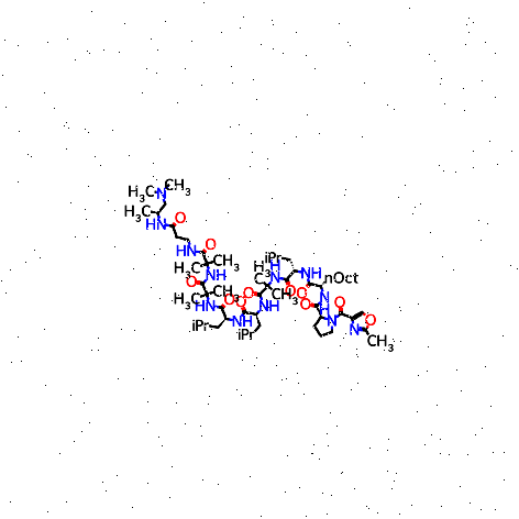 CCCCCCCC[C@H](NC(=O)[C@@H]1CCCN1C(=O)c1coc(C)n1)C(=O)N[C@@H](CC(C)C)C(=O)NC(C)(C)C(=O)N[C@@H](CC(C)C)C(=O)N[C@@H](CC(C)C)C(=O)NC(C)(C)C(=O)NC(C)(C)C(=O)NCCC(=O)N[C@@H](C)CN(C)C